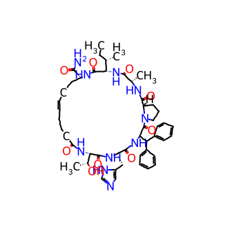 CC[C@H](C)[C@@H]1NC(=O)[C@H](C)NC(=O)[C@@H]2CCCN2C(=O)C(C(c2ccccc2)c2ccccc2)NC(=O)[C@H](Cc2cnc[nH]2)NC(=O)[C@H]([C@@H](C)O)NC(=O)CCC/C=C\CC[C@@H](C(N)=O)NC1=O